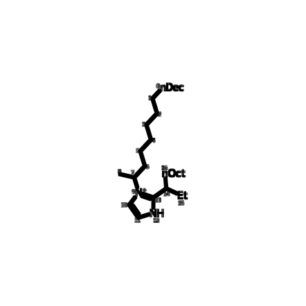 CCCCCCCCCCCCCCCCC(C)[n+]1cc[nH]c1C(CC)CCCCCCCC